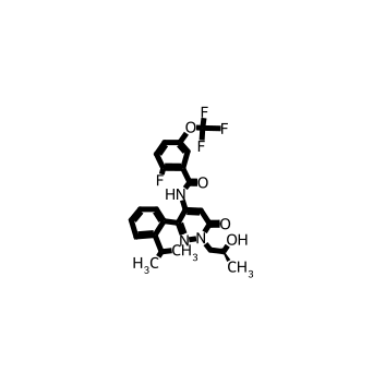 CC(C)c1ccccc1-c1nn(C[C@H](C)O)c(=O)cc1NC(=O)c1cc(OC(F)(F)F)ccc1F